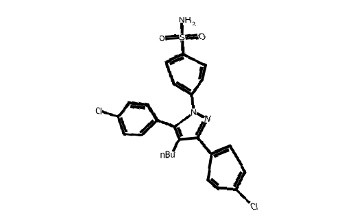 CCCCc1c(-c2ccc(Cl)cc2)nn(-c2ccc(S(N)(=O)=O)cc2)c1-c1ccc(Cl)cc1